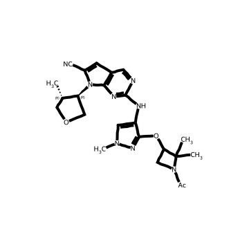 CC(=O)N1CC(Oc2nn(C)cc2Nc2ncc3cc(C#N)n([C@H]4COC[C@@H]4C)c3n2)C1(C)C